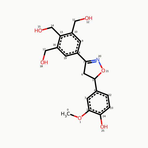 COc1cc(C2CC(c3cc(CO)c(CO)c(CO)c3)=NO2)ccc1O